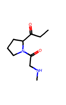 CCC(=O)C1CCCN1C(=O)CNC